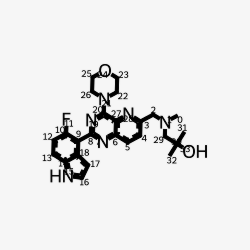 CN(Cc1ccc2nc(-c3c(F)ccc4[nH]ccc34)nc(N3CCOCC3)c2n1)CC(C)(C)O